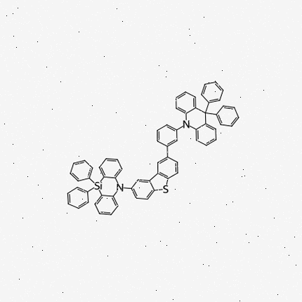 c1ccc(C2(c3ccccc3)c3ccccc3N(c3cccc(-c4ccc5sc6ccc(N7c8ccccc8[Si](c8ccccc8)(c8ccccc8)c8ccccc87)cc6c5c4)c3)c3ccccc32)cc1